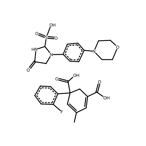 CC1=CC(C(=O)O)(c2ccccc2F)CC(C(=O)O)=C1.O=C1CN(c2ccc(N3CCOCC3)cc2)C(S(=O)(=O)O)N1